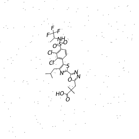 CC(C)Cc1nc(-c2nnc(CC(C)(C)C(=O)O)o2)sc1-c1ccc(S(=O)(=O)NC(C)C(F)(F)F)c(Cl)c1Cl